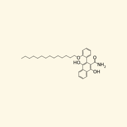 CCCCCCCCCCCCCCOc1ccccc1-c1c(C(N)=O)c(O)c2ccccc2c1O